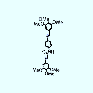 COc1cc(/C=C/C(=O)Nc2ccc(/C=C/c3cc(OC)c(OC)c(OC)c3)cc2)cc(OC)c1OC